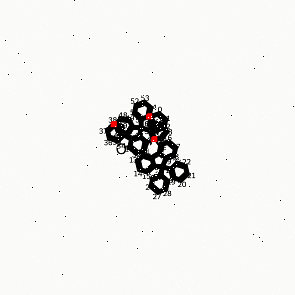 c1ccc(N(c2cccc3c2-c2ccccc2C3(c2ccccc2)c2ccccc2)c2ccc3oc4ccccc4c3c2C2(c3ccccc3)c3ccccc3-c3ccccc32)cc1